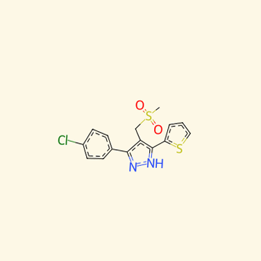 CS(=O)(=O)Cc1c(-c2ccc(Cl)cc2)n[nH]c1-c1cccs1